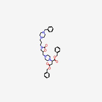 O=C(CC(C(=O)OCc1ccccc1)N1CCN(CC2CN(CCCN3CCN(Cc4ccccc4)CC3)C(=O)O2)CC1)OCc1ccccc1